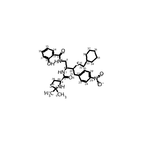 CC1(C)N[C@H](C(=O)NC(CNC(=O)c2ccccc2O)C(Cc2ccc([N+](=O)[O-])cc2)SCC2CCCCC2)CS1